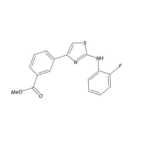 COC(=O)c1cccc(-c2csc(Nc3ccccc3F)n2)c1